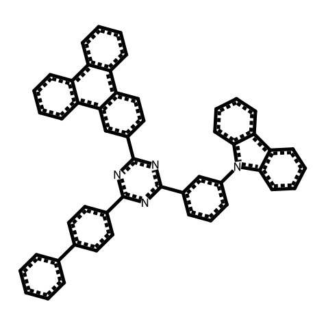 c1ccc(-c2ccc(-c3nc(-c4cccc(-n5c6ccccc6c6ccccc65)c4)nc(-c4ccc5c6ccccc6c6ccccc6c5c4)n3)cc2)cc1